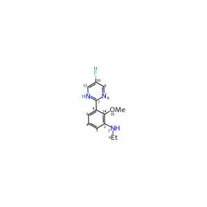 CCNc1cccc(-c2ncc(F)cn2)c1OC